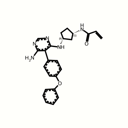 C=CC(=O)N[C@H]1CC[C@@H](Nc2ncnc(N)c2-c2ccc(Oc3ccccc3)cc2)C1